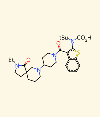 CCN1CCC2(CCCN(C3CCN(C(=O)c4c(N(C(=O)O)C(C)(C)C)sc5ccccc45)CC3)C2)C1=O